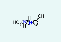 C#Cc1cccc(N2C[C@@H]3C[C@H]2CN3C(=O)O)c1